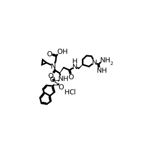 Cl.N=C(N)N1CCC[C@H](CNC(=O)C[C@@H](NS(=O)(=O)c2ccc3ccccc3c2)C(=O)N(CC(=O)O)C2CC2)C1